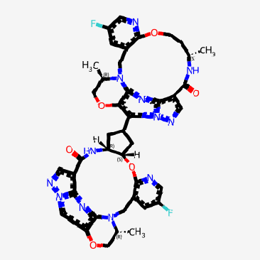 C[C@@H]1COc2cn3ncc4c3nc2N1Cc1cc(F)cnc1O[C@H]1CC(c2c3c5nc6c(cnn26)C(=O)N[C@@H](C)CCOc2ncc(F)cc2CN5[C@H](C)CO3)C[C@H]1NC4=O